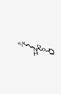 NCCCCNC(=O)COCc1ccccc1